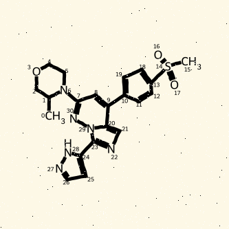 CC1COCCN1c1cc(-c2ccc(S(C)(=O)=O)cc2)c2cnc(-c3ccn[nH]3)n2n1